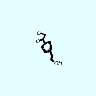 O=C(CCl)c1ccc(CCO)cc1